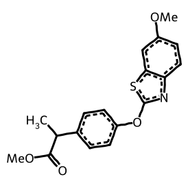 COC(=O)C(C)c1ccc(Oc2nc3ccc(OC)cc3s2)cc1